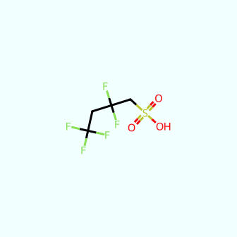 O=S(=O)(O)CC(F)(F)CC(F)(F)F